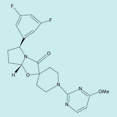 COc1ccnc(N2CCC3(CC2)O[C@@H]2CC[C@@H](c4cc(F)cc(F)c4)N2C3=O)n1